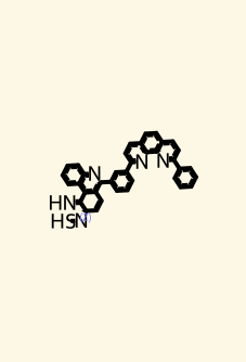 N=C1/C(=N\S)C=Cc2c(-c3cccc(-c4ccc5ccc6ccc(-c7ccccc7)nc6c5n4)c3)nc3ccccc3c21